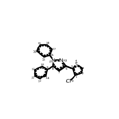 Clc1ccsc1-c1cc(-c2ccccc2)n(-c2ccccc2)n1